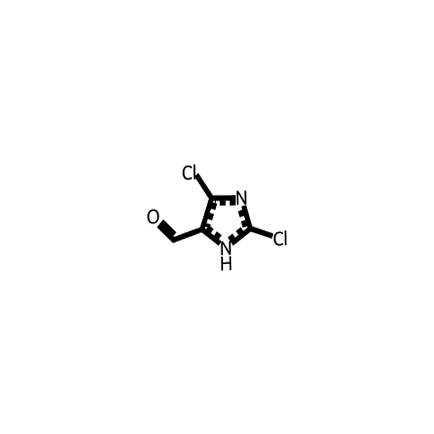 O=Cc1[nH]c(Cl)nc1Cl